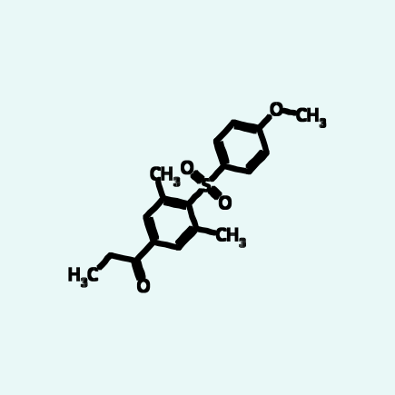 CCC(=O)c1cc(C)c(S(=O)(=O)c2ccc(OC)cc2)c(C)c1